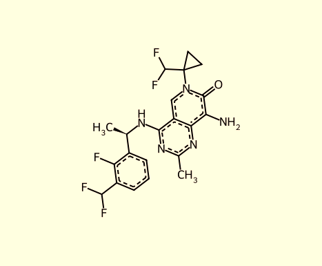 Cc1nc(N[C@H](C)c2cccc(C(F)F)c2F)c2cn(C3(C(F)F)CC3)c(=O)c(N)c2n1